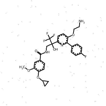 COc1cc(C(=O)NCC(O)(c2ccc(OCCN)c(-c3ccc(F)cc3)n2)C(F)(F)F)ccc1OC1CC1